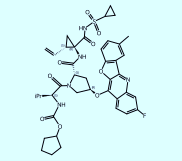 C=C[C@@H]1C[C@]1(NC(=O)[C@@H]1C[C@@H](Oc2c3ccc(F)cc3nc3c2oc2ccc(C)cc23)CN1C(=O)[C@@H](NC(=O)OC1CCCC1)C(C)C)C(=O)NS(=O)(=O)C1CC1